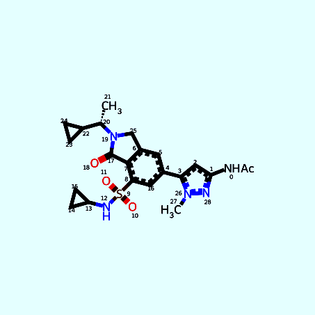 CC(=O)Nc1cc(-c2cc3c(c(S(=O)(=O)NC4CC4)c2)C(=O)N([C@@H](C)C2CC2)C3)n(C)n1